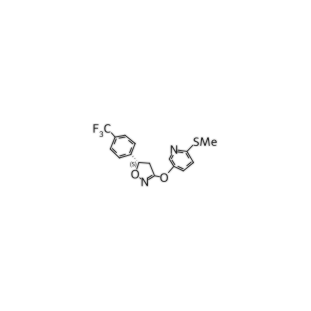 CSc1ccc(OC2=NO[C@H](c3ccc(C(F)(F)F)cc3)C2)cn1